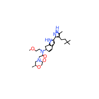 COCCN(C(=O)CN1C[C@H](C)OCC1=O)C1C=Cc2cc(-c3n[nH]c(C)c3CCC(C)(C)C)[nH]c2C1